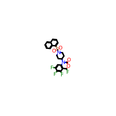 O=C1OC(F)c2c(cc(F)c(F)c2F)N1C1CCN(S(=O)(=O)c2cccc3ccccc23)CC1